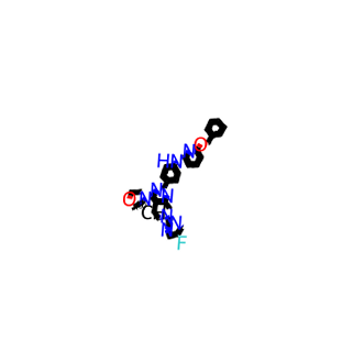 C[C@H]1COCCN1c1nc(-c2ccc(Nc3cccc(OCc4ccccc4)n3)cc2)nc2c1CCN(c1ncc(F)cn1)C2